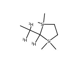 [2H]C([2H])(C)C1([2H])[Si](C)(C)CC[Si]1(C)C